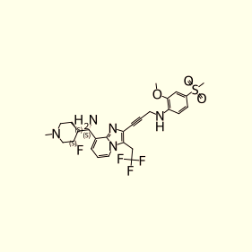 COc1cc(S(C)(=O)=O)ccc1NCC#Cc1nc2c([C@@H](N)[C@@H]3CCN(C)C[C@H]3F)cccn2c1CC(F)(F)F